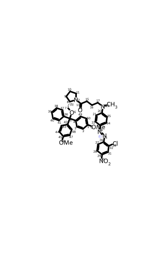 COc1ccc(C(OC[C@@H]2CCCN2C(=O)CCCN(C)c2ccc(/N=N/c3ccc([N+](=O)[O-])cc3Cl)cc2)(c2ccccc2)c2ccc(OC)cc2)cc1